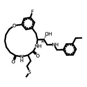 CCc1cccc(CNC[C@@H](O)C2Cc3cc(F)cc(c3)OCCCCCC(=O)NC(CCSC)C(=O)N2)c1